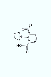 O=C(O)C1=C(N2CCCC2)C(=S(=O)=O)CC=C1